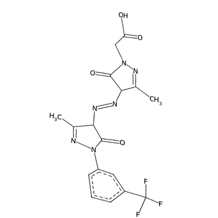 CC1=NN(CC(=O)O)C(=O)C1N=NC1C(=O)N(c2cccc(C(F)(F)F)c2)N=C1C